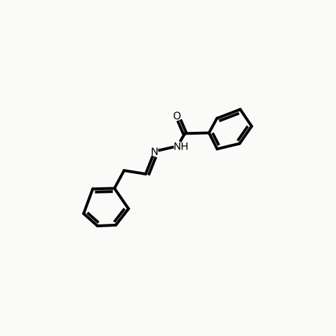 O=C(N/N=C/Cc1ccccc1)c1ccccc1